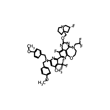 COc1ccc(CN(Cc2ccc(OC)cc2)c2cc(C)c(C(F)(F)F)c(-c3nc4c5c(nc(OC[C@@]67CCCN6C[C@H](F)C7)nc5c3F)N(CC(F)F)CCO4)n2)cc1